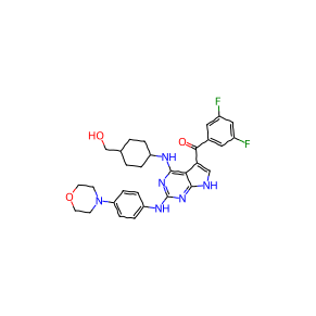 O=C(c1cc(F)cc(F)c1)c1c[nH]c2nc(Nc3ccc(N4CCOCC4)cc3)nc(NC3CCC(CO)CC3)c12